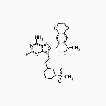 CN(C)c1cc2c(cc1Cc1nc3c(N)nc(F)nc3n1CCC1CCCN(S(C)(=O)=O)C1)OCCO2